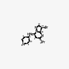 CC(C)c1cc(Nc2ccncc2)n2ncc(Br)c2n1